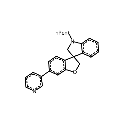 CCCCCN1CC2(COc3cc(-c4cccnc4)ccc32)c2ccccc21